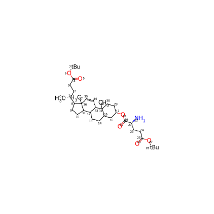 C[C@H](CCC(=O)OC(C)(C)C)C1CCC2C3CCC4CC(OC(=O)[C@@H](N)CCC(=O)OC(C)(C)C)CCC4(C)C3C=CC21C